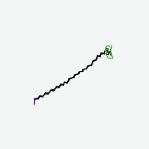 C[Si](Cl)(Cl)CCCCCCCCCCCCCCCCCCCCCCCCCCCCCCCI